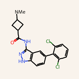 CNC1CC(C(=O)Nc2n[nH]c3ccc(-c4c(Cl)cccc4Cl)cc23)C1